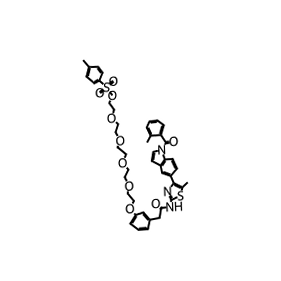 Cc1ccc(S(=O)(=O)OCCOCCOCCOCCOCCOc2cccc(CC(=O)Nc3nc(-c4ccc5c(ccn5C(=O)c5ccccc5C)c4)c(C)s3)c2)cc1